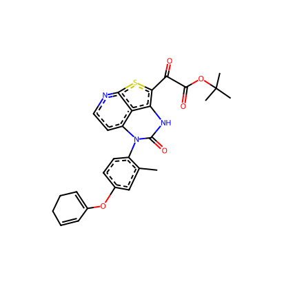 Cc1cc(OC2=CCCC=C2)ccc1N1C(=O)Nc2c(C(=O)C(=O)OC(C)(C)C)sc3nccc1c23